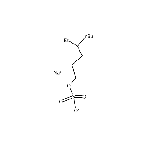 CCCCC(CC)CCCOS(=O)(=O)[O-].[Na+]